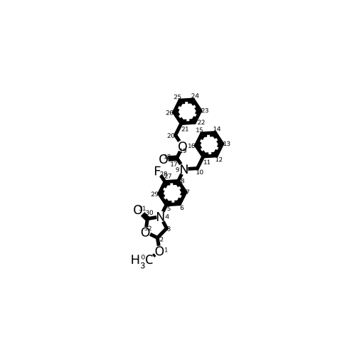 COC1CN(c2ccc(N(Cc3ccccc3)C(=O)OCc3ccccc3)c(F)c2)C(=O)O1